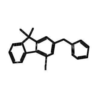 CC1(C)c2ccccc2-c2c(I)cc(Cc3ccccc3)cc21